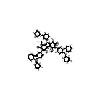 [2H]c1c(-c2ccc3c(c2)c2ccccc2n3-c2ccccc2)c([2H])c2c3c([2H])c(-c4ccc5c(c4)c4ccccc4n5-c4ccccc4)c([2H])c([2H])c3n(-c3cccc(-c4ccccc4)c3)c2c1[2H]